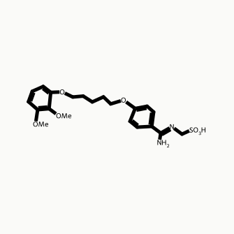 COc1cccc(OCCCCCOc2ccc(C(N)=NCS(=O)(=O)O)cc2)c1OC